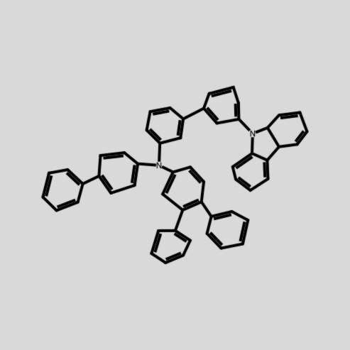 C1=CC2c3ccccc3N(c3cccc(-c4cccc(N(c5ccc(-c6ccccc6)cc5)c5ccc(-c6ccccc6)c(-c6ccccc6)c5)c4)c3)C2C=C1